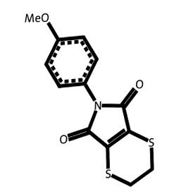 COc1ccc(N2C(=O)C3=C(SCCS3)C2=O)cc1